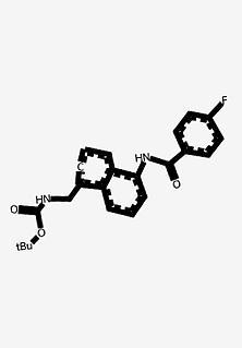 CC(C)(C)OC(=O)NCc1cccc2c(NC(=O)c3ccc(F)cc3)cccc12